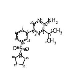 CC(C)c1nc(-c2cccc(S(=O)(=O)N3CCCC3)c2)cnc1N